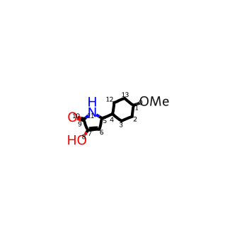 COC1CCC(C2C=C(O)C(=O)N2)CC1